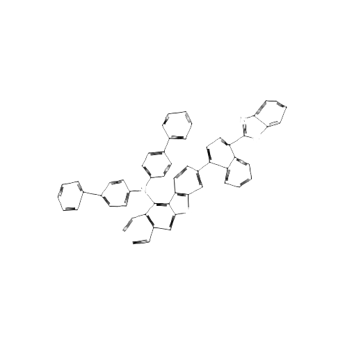 C=Cc1cc2oc3cc(-c4ccc(-c5nc6ccccc6o5)c5ccccc45)ccc3c2c(N(c2ccc(-c3ccccc3)cc2)c2ccc(-c3ccccc3)cc2)c1C=C